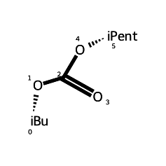 C[CH][C@@H](C)OC(=O)O[C@@H](C)CCC